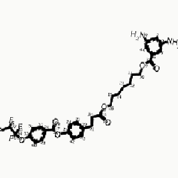 Nc1cc(N)cc(C(=O)OCCCCCCCOC(=O)/C=C/c2ccc(OC(=O)c3ccc(OC(F)(F)C(F)F)cc3)cc2)c1